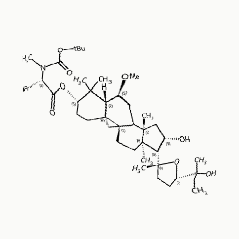 CO[C@H]1CC2[C@]3(CC[C@]4(C)[C@@H]([C@@]5(C)CC[C@@H](C(C)(C)O)O5)[C@@H](O)C[C@@]24C)C[C@@]32CC[C@H](OC(=O)[C@H](C(C)C)N(C)C(=O)OC(C)(C)C)C(C)(C)[C@H]12